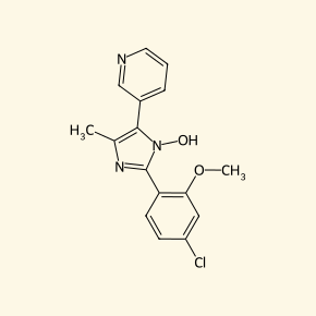 COc1cc(Cl)ccc1-c1nc(C)c(-c2cccnc2)n1O